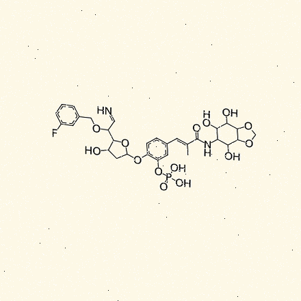 C/C(=C\c1ccc(OC2CC(O)C(C(C=N)OCc3cccc(F)c3)O2)c(OP(=O)(O)O)c1)C(=O)NC1C(O)C(O)C2OCOC2C1O